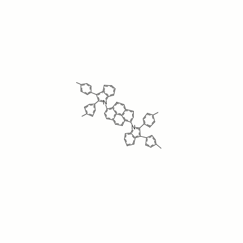 Cc1ccc(-c2c(-c3ccc(C)cc3)n(-c3ccc4ccc5c(-n6c(-c7ccc(C)cc7)c(-c7ccc(C)cc7)c7ccccc76)ccc6ccc3c4c65)c3ccccc23)cc1